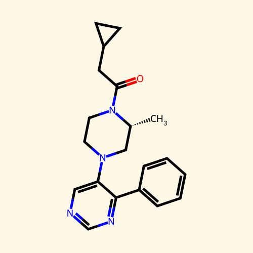 C[C@@H]1CN(c2cncnc2-c2ccccc2)CCN1C(=O)CC1CC1